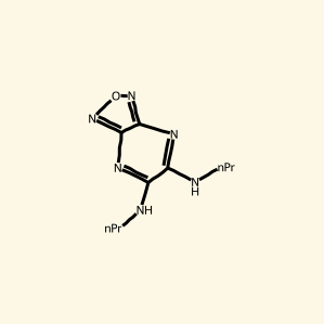 CCCNc1nc2nonc2nc1NCCC